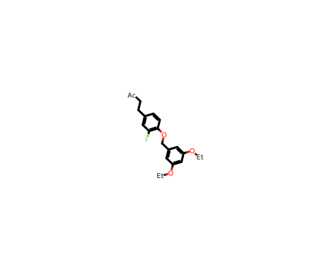 CCOc1cc(COc2ccc(CCC(C)=O)cc2F)cc(OCC)c1